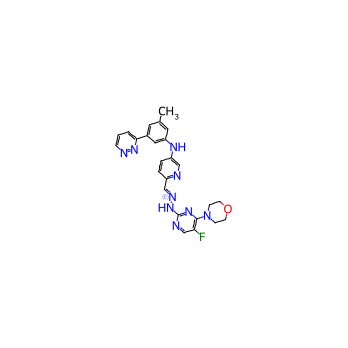 Cc1cc(Nc2ccc(/C=N/Nc3ncc(F)c(N4CCOCC4)n3)nc2)cc(-c2cccnn2)c1